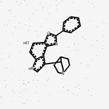 Cl.c1ccc(-c2nc3c(ccc4[nH]cc(C5CN6CCC5CC6)c43)o2)cc1